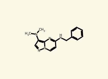 CN(C)c1cnn2ccc(NCc3ccccc3)nc12